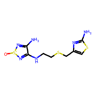 Nc1nc(CSCCNc2n[s+]([O-])nc2N)cs1